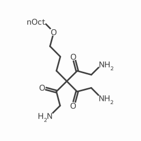 CCCCCCCCOCCCC(C(=O)CN)(C(=O)CN)C(=O)CN